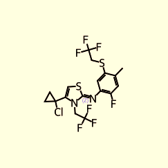 Cc1cc(F)c(/N=c2\scc(C3(Cl)CC3)n2CC(F)(F)F)cc1SCC(F)(F)F